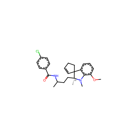 COc1cccc2c1N(C)[C@@](C)(CCC(C)NC(=O)c1ccc(Cl)cc1)C21C=CCC1